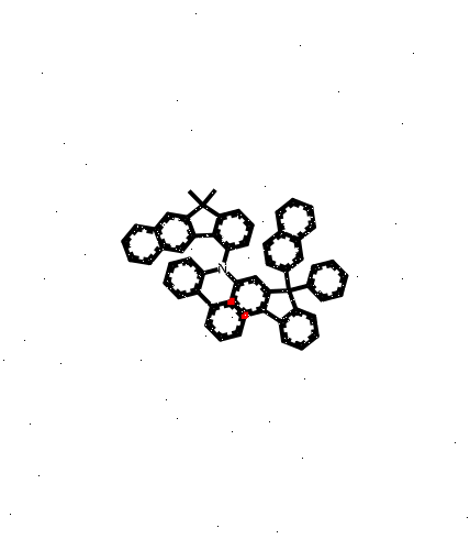 CC1(C)c2cc3ccccc3cc2-c2c(N(c3ccc4c(c3)C(c3ccccc3)(c3ccc5ccccc5c3)c3ccccc3-4)c3ccccc3-c3ccccc3)cccc21